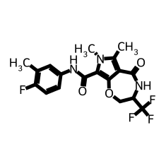 Cc1cc(NC(=O)c2c3c(c(C)n2C)C(=O)NC(C(F)(F)F)CO3)ccc1F